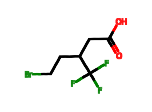 O=C(O)CC(CCBr)C(F)(F)F